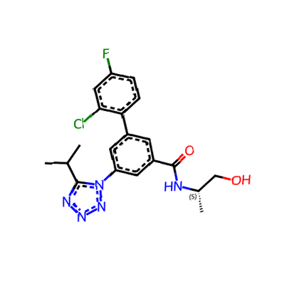 CC(C)c1nnnn1-c1cc(C(=O)N[C@@H](C)CO)cc(-c2ccc(F)cc2Cl)c1